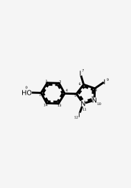 Oc1ccc(-c2c(I)c(I)nn2I)cc1